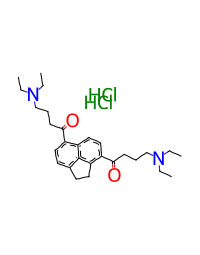 CCN(CC)CCCC(=O)c1ccc2c(C(=O)CCCN(CC)CC)ccc3c2c1CC3.Cl.Cl